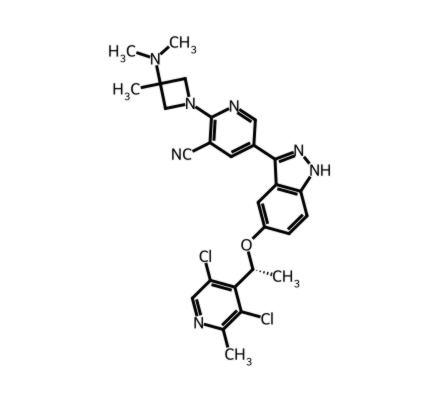 Cc1ncc(Cl)c([C@@H](C)Oc2ccc3[nH]nc(-c4cnc(N5CC(C)(N(C)C)C5)c(C#N)c4)c3c2)c1Cl